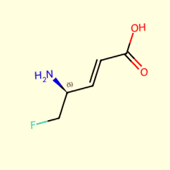 N[C@@H](C=CC(=O)O)CF